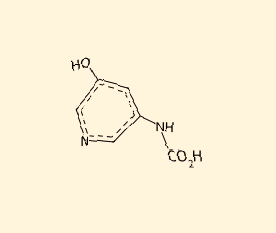 O=C(O)Nc1cncc(O)c1